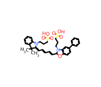 CC1(C)C(=CC=CC=CC2Oc3ccc(-c4ccccc4)cc3N2CCCS(=O)(=O)O)N(CCCS(=O)(=O)O)c2ccccc21